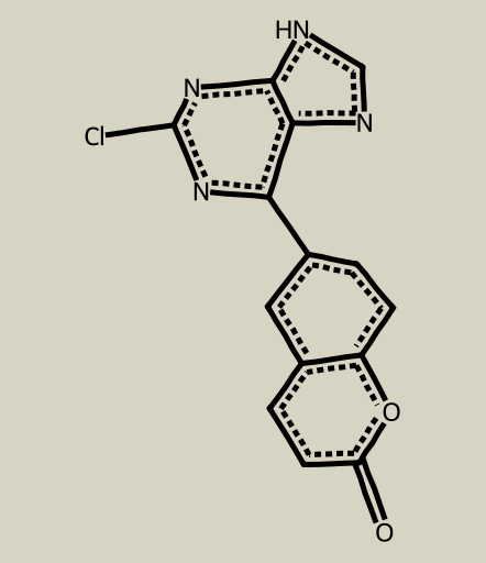 O=c1ccc2cc(-c3nc(Cl)nc4[nH]cnc34)ccc2o1